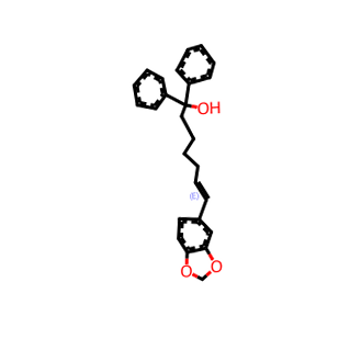 OC(CCCC/C=C/c1ccc2c(c1)OCO2)(c1ccccc1)c1ccccc1